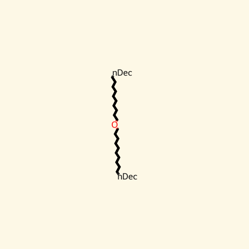 CCCCCCCCCCCCCCCCCCCCOCCCCCCCCCCCCCCCCCCCC